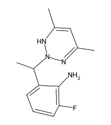 CC1=CC(C)=NN(C(C)c2cccc(F)c2N)N1